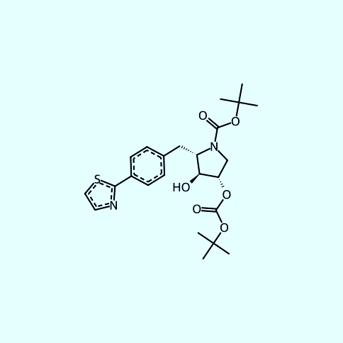 CC(C)(C)OC(=O)O[C@H]1CN(C(=O)OC(C)(C)C)[C@@H](Cc2ccc(-c3nccs3)cc2)[C@@H]1O